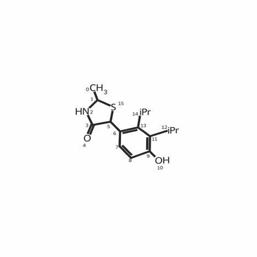 CC1NC(=O)C(c2ccc(O)c(C(C)C)c2C(C)C)S1